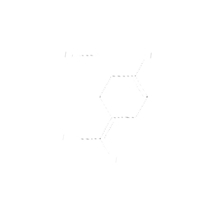 CC1=CCC(=C(C)C)C[C@@H]1SO